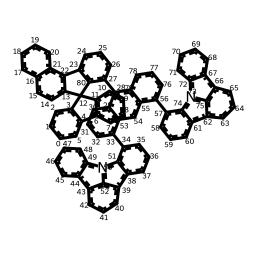 c1ccc2c(c1)-c1ccccc1C21c2ccc3ccccc3c2-c2cccc(-c3c4cccc(-c5cccc6c7cccc8c9ccccc9n(c56)c87)c4cc4c(-c5cccc6c7cccc8c9ccccc9n(c56)c87)cccc34)c21